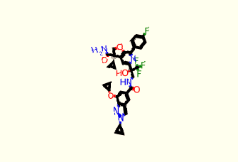 NC(=O)[C@@]1(C2CC2)COc2c1cc([C@@](O)(CNC(=O)c1cc(OC3CC3)c3nn(C4CC4)cc3c1)C(F)(F)F)nc2-c1ccc(F)cc1